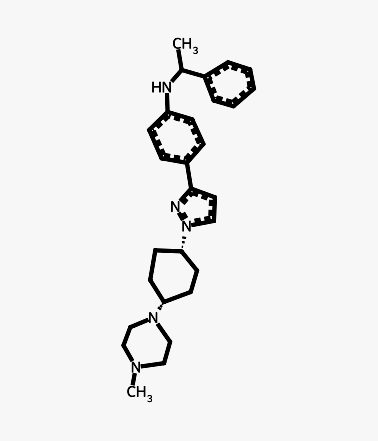 CC(Nc1ccc(-c2ccn([C@H]3CC[C@@H](N4CCN(C)CC4)CC3)n2)cc1)c1ccccc1